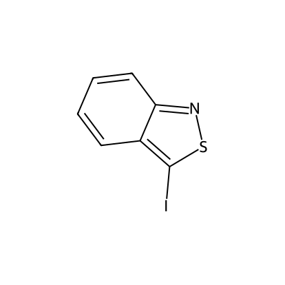 Ic1snc2ccccc12